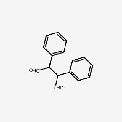 O=[C]C(c1ccccc1)C([C]=O)c1ccccc1